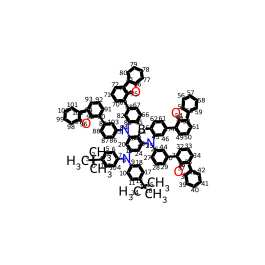 CC(C)(C)c1ccc(N(c2ccc(C(C)(C)C)cc2)c2cc3c4c(c2)N(c2cccc(-c5cccc6c5oc5ccccc56)c2)c2cc(-c5cccc6c5oc5ccccc56)ccc2B4c2ccc(-c4cccc5c4oc4ccccc45)cc2N3c2cccc(-c3cccc4c3oc3ccccc34)c2)cc1